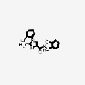 Cc1nc(C(=O)NSc2ccccc2Cl)cn1-c1ccccc1Cl